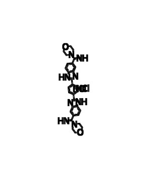 Cl.Cl.N=C(c1ccc2[nH]c(-c3ccc(-c4nc5cc(C(=N)N6CCOCC6)ccc5[nH]4)cc3)nc2c1)N1CCOCC1